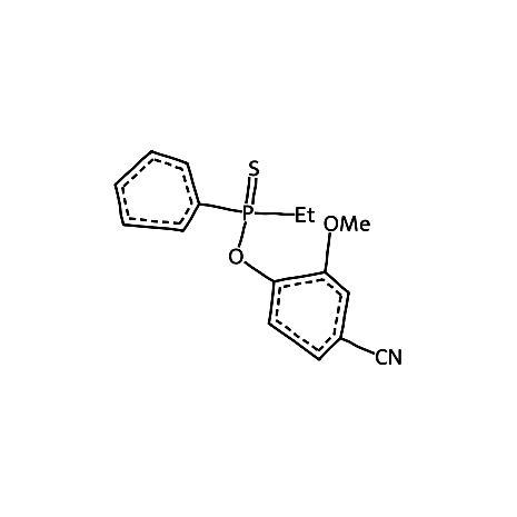 CCP(=S)(Oc1ccc(C#N)cc1OC)c1ccccc1